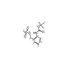 CC(C)(C)OC(=O)Nc1ccncc1COS(C)(=O)=O